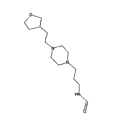 O=CNCCCN1CCN(CCC2CCOC2)CC1